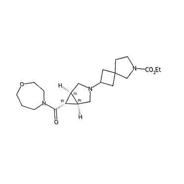 CCOC(=O)N1CCC2(CC(N3C[C@@H]4[C@H](C3)[C@H]4C(=O)N3CCCOCC3)C2)C1